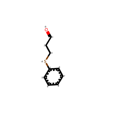 O=CCCSc1ccccc1